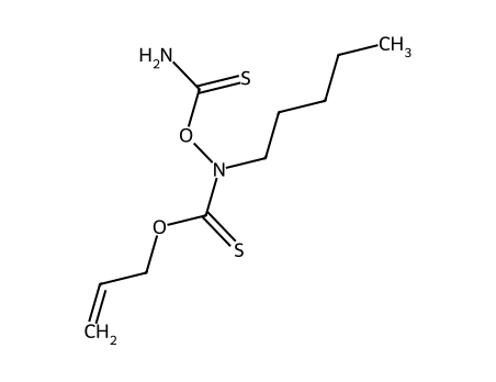 C=CCOC(=S)N(CCCCC)OC(N)=S